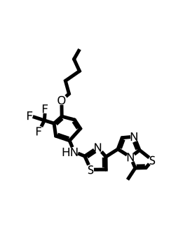 CCCCCOc1ccc(Nc2nc(-c3cnc4scc(C)n34)cs2)cc1C(F)(F)F